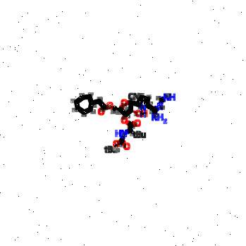 CC(C)(C)OC(=O)N[C@@H](C(=O)O[C@H]1[C@@H](O)[C@](C#N)(c2ccc(/C(N)=N\C=N)[nH]2)O[C@@H]1COC(=O)CC1CCCCCC1)C(C)(C)C